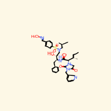 CC[C@H](C)[C@@H](C(=O)N[C@@H](Cc1ccccc1)[C@H](O)CN(CC(C)C)S(=O)(=O)c1ccc(/C=N/O)cc1)N1CC(=O)N(Cc2cccnc2)C1=O